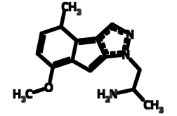 COC1=C2C=c3c(cnn3CC(C)N)=C2C(C)C=C1